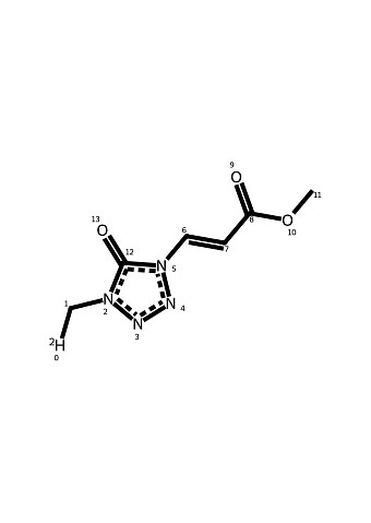 [2H]Cn1nnn(/C=C/C(=O)OC)c1=O